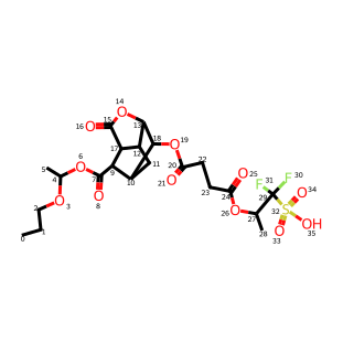 CCCOC(C)OC(=O)C1C2CC3C(OC(=O)C31)C2OC(=O)CCC(=O)OC(C)C(F)(F)S(=O)(=O)O